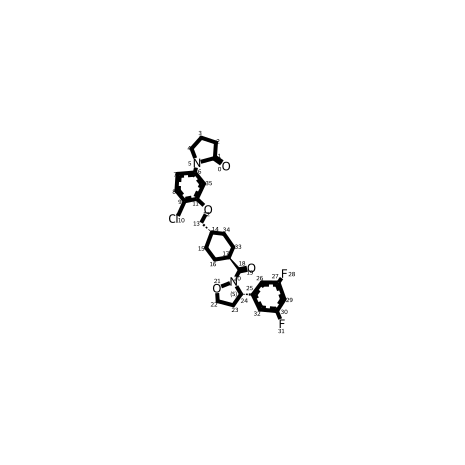 O=C1CCCN1c1ccc(Cl)c(OC[C@H]2CC[C@H](C(=O)N3OCC[C@H]3c3cc(F)cc(F)c3)CC2)c1